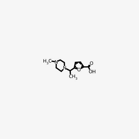 CC(c1ccc(C(=O)O)o1)N1CCN(C)CC1